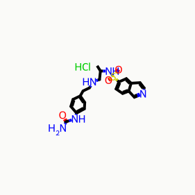 CC(CNCCc1ccc(NC(N)=O)cc1)NS(=O)(=O)c1ccc2cnccc2c1.Cl